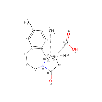 Cc1ccc2c(c1)CCCN1C(=O)C[C@H]3[C@H](C(=O)O)[C@@H](C)CC231